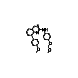 COCOc1ccc(Nc2ncc3cccc(-c4ccc(OC)cc4)c3n2)cc1